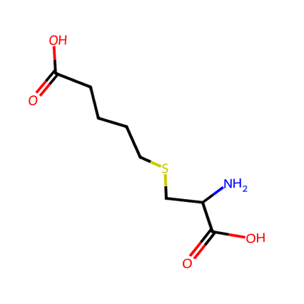 NC(CSCCCCC(=O)O)C(=O)O